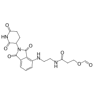 O=COCCC(=O)NCCNc1cccc2c1C(=O)N(C1CCC(=O)NC1=O)C2=O